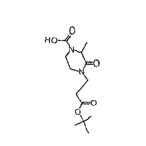 CC1C(=O)N(CCC(=O)OC(C)(C)C)CCN1C(=O)O